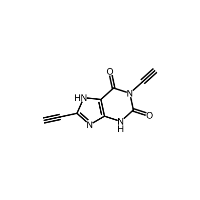 C#Cc1nc2[nH]c(=O)n(C#C)c(=O)c2[nH]1